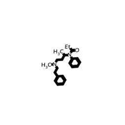 CCC(=O)N(c1ccccc1)C(C)CCN(C)CCc1ccccc1